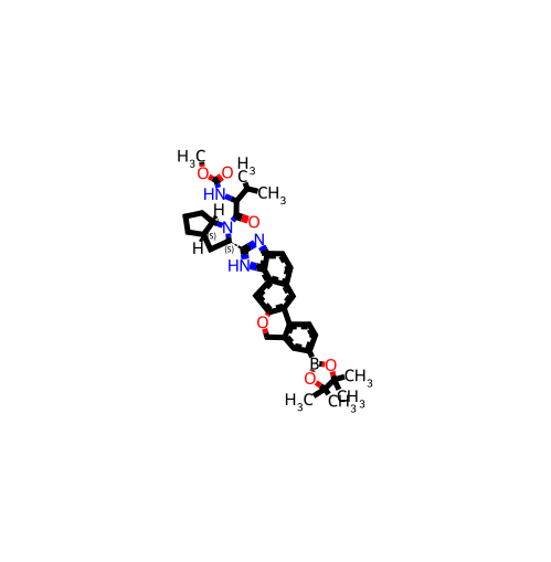 COC(=O)NC(C(=O)N1[C@H](c2nc3ccc4cc5c(cc4c3[nH]2)OCc2cc(B3OC(C)(C)C(C)(C)O3)ccc2-5)C[C@@H]2CCC[C@@H]21)C(C)C